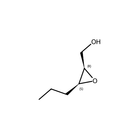 CCC[C@@H]1O[C@@H]1CO